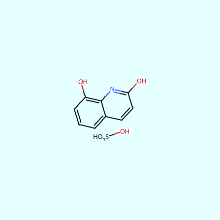 O=S(=O)(O)O.Oc1ccc2cccc(O)c2n1